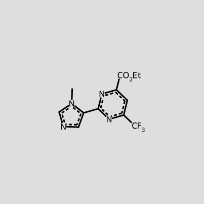 CCOC(=O)c1cc(C(F)(F)F)nc(-c2cncn2C)n1